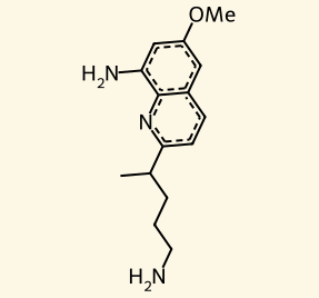 COc1cc(N)c2nc(C(C)CCCN)ccc2c1